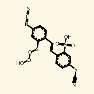 N#CSc1ccc(/C=C/c2ccc(N=C=S)cc2SOOO)c(S(=O)(=O)O)c1